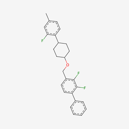 Cc1ccc(C2CCC(OCc3ccc(-c4ccccc4)c(F)c3F)CC2)c(F)c1